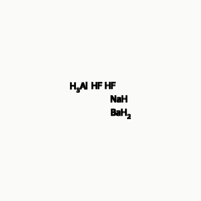 F.F.[AlH3].[BaH2].[NaH]